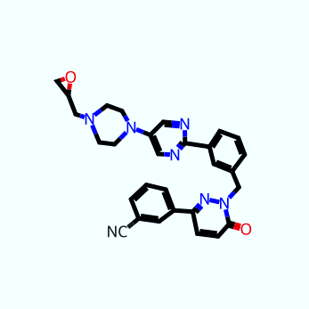 N#Cc1cccc(-c2ccc(=O)n(Cc3cccc(-c4ncc(N5CCN(CC6CO6)CC5)cn4)c3)n2)c1